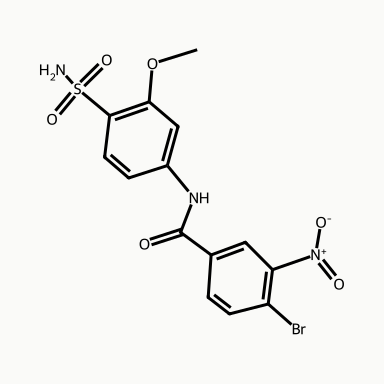 COc1cc(NC(=O)c2ccc(Br)c([N+](=O)[O-])c2)ccc1S(N)(=O)=O